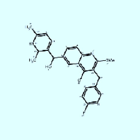 COc1nc2ccc(C(O)C3=CC=C(C)NC3C)cc2c(Cl)c1Cc1ccc(F)cc1